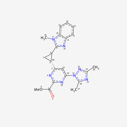 COC(=O)c1nc([C@@H]2CC2c2nc3ccccc3n2C)cc(-n2nc(C)nc2C)n1